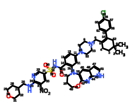 CC1(C)CCC(CN2CCN(c3ccc(C(=O)NS(=O)(=O)c4cnc(NCC5CCOCC5)c([N+](=O)[O-])c4)c(N4CCCOc5nc6[nH]ccc6cc54)c3)CC2)=C(c2ccc(Cl)cc2)C1